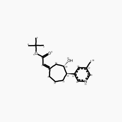 CC(C)(C)OC(=O)/C=C1/CCC[C@H](c2cncc(I)c2)[C@@H](O)C1